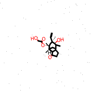 C=C[C@]1(C)C[C@@H](OC(=O)CO)[C@]2(C)[C@H](C)CC[C@]3(CCC(=O)[C@H]32)C(C)[C@@H]1O